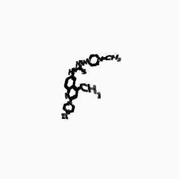 CCN1CCN(c2cc(C)c3cc(NC(=S)NN4CCN(C)CC4)ccc3n2)CC1